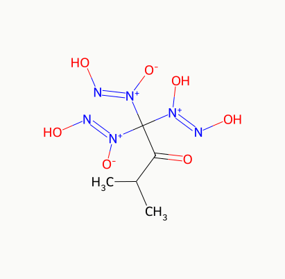 CC(C)C(=O)C(/[N+]([O-])=N/O)(/[N+]([O-])=N/O)/[N+](O)=N/O